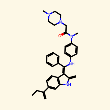 C=C(CC)c1ccc2/c(=C(/Nc3ccc(N(C)C(=O)CN4CCN(C)CC4)cc3)c3ccccc3)c(=C)[nH]c2c1